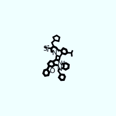 CC(C)c1ccc2c(c1)C1c3c(c4ccc5c6ccccc6oc5c4c4n(Cc5ccccc5)c5ccccc5[n+]34)C1[n+]1cc([Si](C)(C)C)c(CC3CCCC3)cc1-2